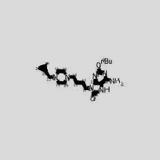 CCCCOc1nc(N)c2[nH]c(=O)n(CCCCN3CCN(CC4CC4)CC3)c2n1